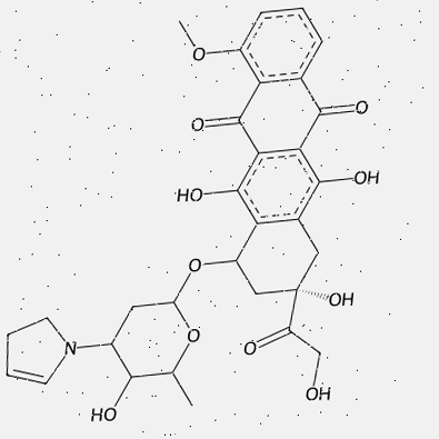 COc1cccc2c1C(=O)c1c(O)c3c(c(O)c1C2=O)C[C@@](O)(C(=O)CO)CC3OC1CC(N2C=CCC2)C(O)C(C)O1